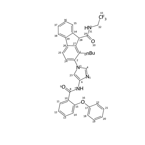 CCCCc1c(-n2cnc(NC(=O)c3ccccc3Oc3ccccc3)c2)ccc2c1C(C(=O)NCC(F)(F)F)c1ccccc1-2